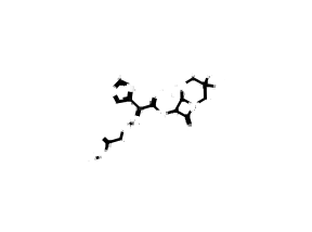 CC(C)(C)OC(=O)CON=C(C(=O)NC1C(=O)N2CC(Cl)(C(=O)O)CS[C@H]12)c1cscn1